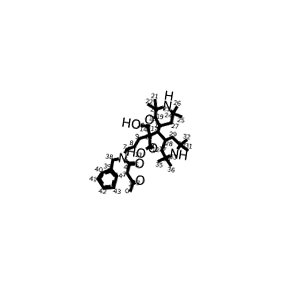 CC(=O)CC(=O)N(CCCC(C(=O)O)(C(=O)O)C(C1CC(C)(C)NC(C)(C)C1)C1CC(C)(C)NC(C)(C)C1)Cc1ccccc1